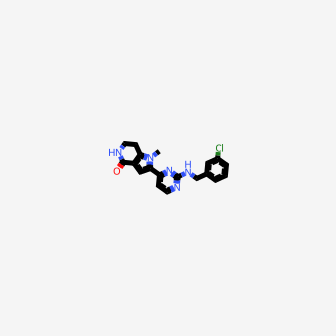 Cn1c(-c2ccnc(NCc3cccc(Cl)c3)n2)cc2c1CCNC2=O